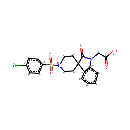 O=C(O)CN1C(=O)C2(CCN(S(=O)(=O)c3ccc(Cl)cc3)CC2)c2ccccc21